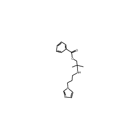 CC(C)(COC(=O)c1ccccc1)NCCCn1ccnc1